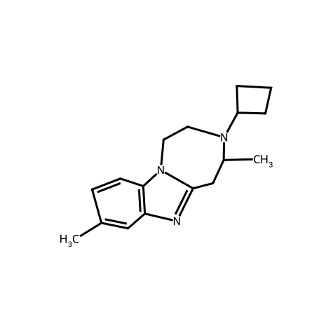 Cc1ccc2c(c1)nc1n2CCN(C2CCC2)C(C)C1